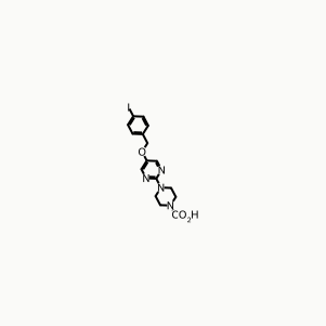 O=C(O)N1CCN(c2ncc(OCc3ccc(I)cc3)cn2)CC1